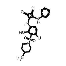 NC1CCN(S(=O)(=O)c2c(Cl)ccc(Nc3c(Nc4ccccc4)c(=O)c3=O)c2O)CC1